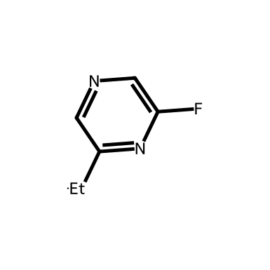 C[CH]c1cncc(F)n1